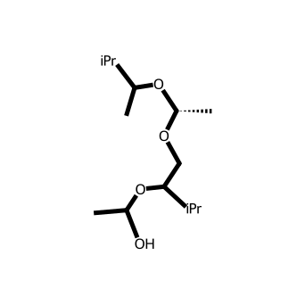 CC(O)OC(CO[C@@H](C)OC(C)C(C)C)C(C)C